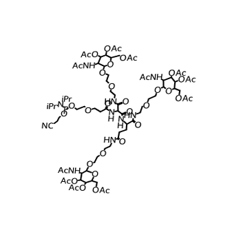 CC(=O)NC1C(OCCOCCNC(=O)CCC(NC(=O)C(NC(=O)CCOCCOP(OCCC#N)N(C(C)C)C(C)C)C(=O)NCCOCCOC2OC(COC(C)=O)C(OC(C)=O)C(OC(C)=O)C2NC(C)=O)C(=O)NCCOCCOC2OC(COC(C)=O)C(OC(C)=O)C(OC(C)=O)C2NC(C)=O)OC(COC(C)=O)C(OC(C)=O)C1OC(C)=O